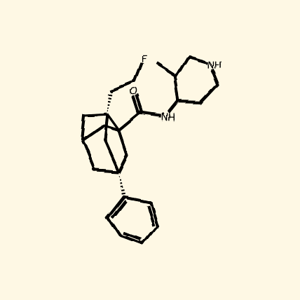 CC1CNCCC1NC(=O)C12CC3C[C@](c4ccccc4)(C1)C[C@@]2(CCF)C3